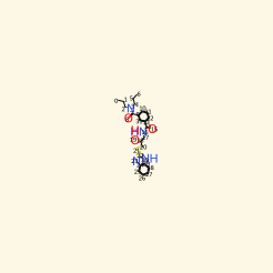 CCCN(CCC)C(=O)c1cccc(C(=O)NC[C@H](O)CSc2nc3ccccc3[nH]2)c1